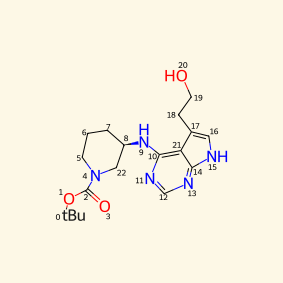 CC(C)(C)OC(=O)N1CCC[C@@H](Nc2ncnc3[nH]cc(CCO)c23)C1